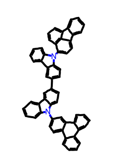 c1ccc2c(c1)-c1cccc3c(-n4c5ccccc5c5cc(-c6ccc7c(c6)c6ccccc6n7-c6ccc7c8ccccc8c8ccccc8c7c6)ccc54)ccc-2c13